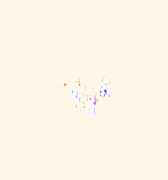 Cc1c(S(=O)(=O)Nc2ccc(N3CC[C@@H](C(=O)O)C3)c3ccccc23)cnn1-c1ccccc1